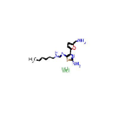 CCCCCCNC=Nc1sc(N)nc1-c1ccc(CN)o1.Cl.Cl